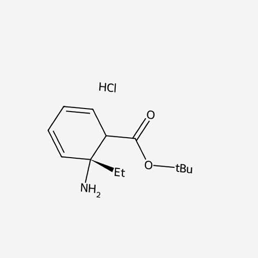 CC[C@@]1(N)C=CC=CC1C(=O)OC(C)(C)C.Cl